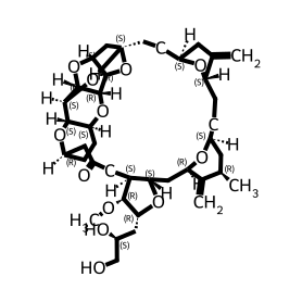 C=C1C[C@@H]2CC[C@@]34C[C@@H]5O[C@H]6[C@@H](O3)[C@H]3O[C@H](CC[C@@H]3O[C@H]6[C@@H]5O4)CC(=O)C[C@@H]3[C@@H](OC)[C@@H](C[C@H](O)CO)O[C@H]3C[C@H]3O[C@@H](CC[C@@H]1O2)C[C@@H](C)C3=C